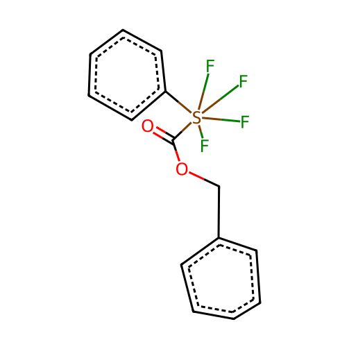 O=C(OCc1ccccc1)S(F)(F)(F)(F)c1ccccc1